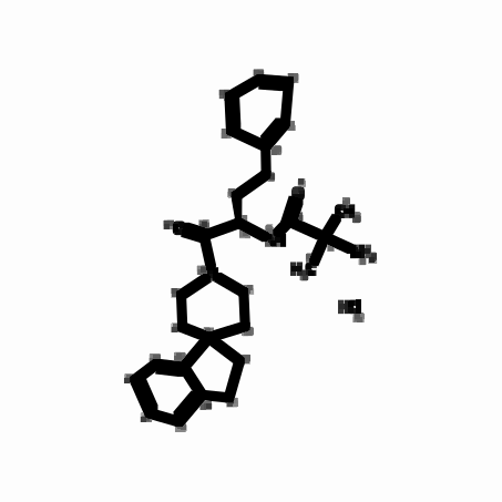 CC(C)(N)C(=O)N[C@H](CCc1ccccc1)C(=O)N1CCC2(CCc3ccccc32)CC1.Cl